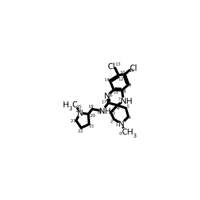 CN1CCC2(CC1)Nc1cc(Cl)c(Cl)cc1N=C2NCC1CCCN1C